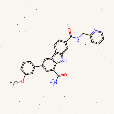 COc1cccc(-c2cc(C(N)=O)c3[nH]c4cc(C(=O)NCc5ccccn5)ccc4c3c2)c1